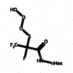 CCCCCCNC(=O)C(F)(SOOO)C(F)(F)F